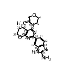 C[C@H]1COCCN1c1nc(-c2ccc3nc(N)[nH]c3c2)nc2c1CCCO2